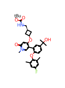 Cc1cc(F)cc(C)c1Oc1ccc(C(C)(C)O)cc1-c1cn(C)c(=O)cc1O[C@H]1C[C@@H](CNC(=O)OC(C)(C)C)C1